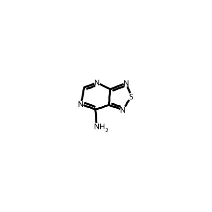 Nc1ncnc2nsnc12